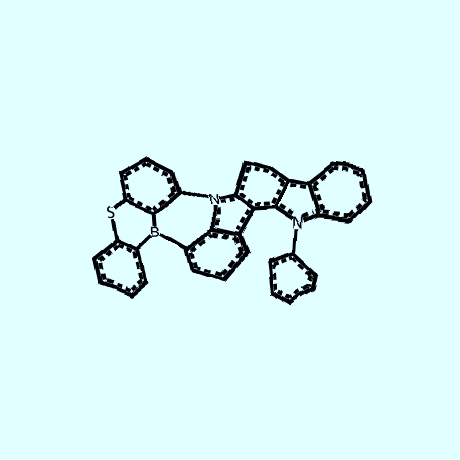 c1ccc(-n2c3ccccc3c3ccc4c(c5cccc6c5n4-c4cccc5c4B6c4ccccc4S5)c32)cc1